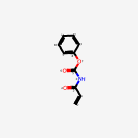 C=CC(=O)NC(=O)Oc1ccccc1